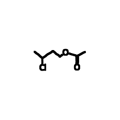 CC(=O)OCCC(C)Cl